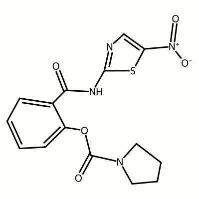 O=C(Nc1ncc([N+](=O)[O-])s1)c1ccccc1OC(=O)N1CCCC1